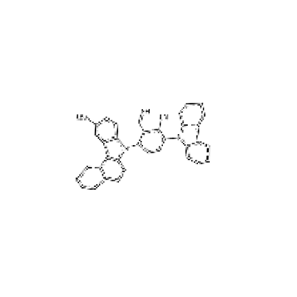 CC(C)(C)c1ccc2c(c1)c1c3ccccc3ccc1n2-c1ccc(-n2c3ccccc3c3ccccc32)c(C#N)c1C=N